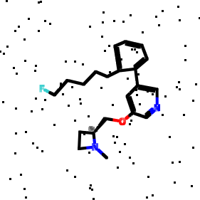 CN1CC[C@H]1COc1cncc(-c2ccccc2CCCCCF)c1